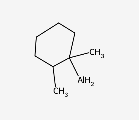 CC1CCCC[C]1(C)[AlH2]